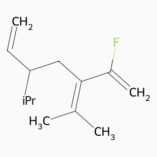 C=CC(CC(C(=C)F)=C(C)C)C(C)C